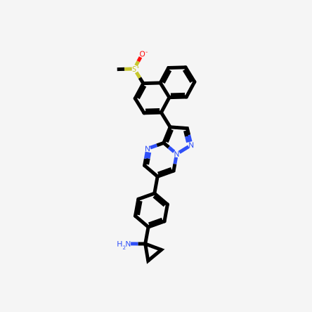 C[S+]([O-])c1ccc(-c2cnn3cc(-c4ccc(C5(N)CC5)cc4)cnc23)c2ccccc12